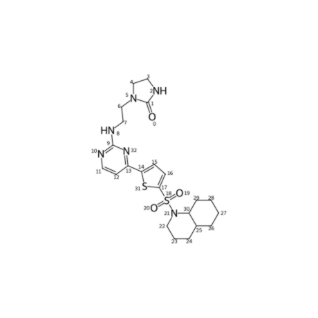 O=C1NCCN1CCNc1nccc(-c2ccc(S(=O)(=O)N3CCCC4CCCCC43)s2)n1